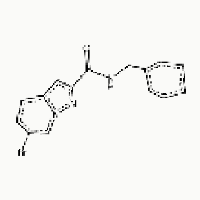 O=C(NCc1ccccc1)c1cc2ccc(Br)cn2n1